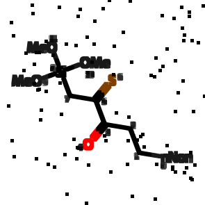 CCCCCCCCCCCC(=O)C(=S)C[Si](OC)(OC)OC